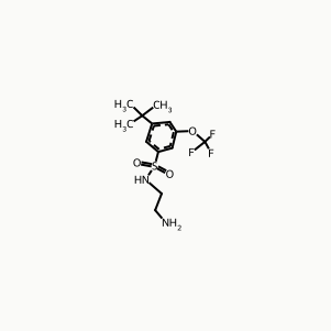 CC(C)(C)c1cc(OC(F)(F)F)cc(S(=O)(=O)NCCN)c1